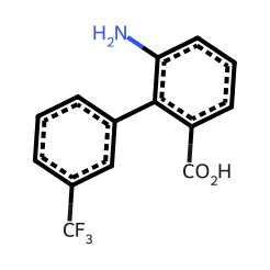 Nc1cccc(C(=O)O)c1-c1cccc(C(F)(F)F)c1